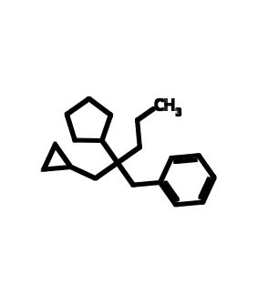 CCCC(Cc1ccccc1)(CC1CC1)C1CCCC1